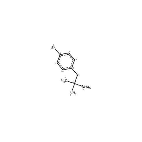 CCc1ccc(CC(C)(C)NC(C)=O)cc1